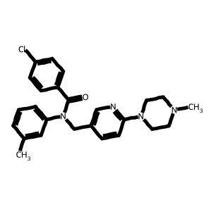 Cc1cccc(N(Cc2ccc(N3CCN(C)CC3)nc2)C(=O)c2ccc(Cl)cc2)c1